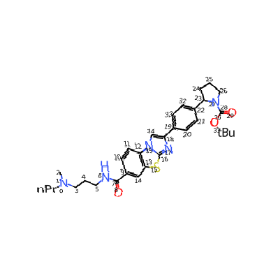 CCCN(C)CCCNC(=O)c1ccc2c(c1)sc1nc(-c3ccc(C4CCCN4C(=O)OC(C)(C)C)cc3)cn12